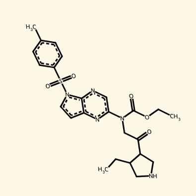 CCOC(=O)N(CC(=O)C1CNCC1CC)c1cnc2c(ccn2S(=O)(=O)c2ccc(C)cc2)n1